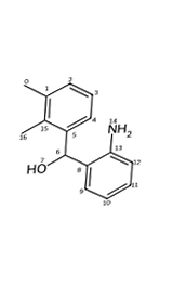 Cc1cccc(C(O)c2ccccc2N)c1C